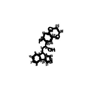 OC(CC1c2ccccc2-c2cncn21)c1cc2c(cc1F)OCCO2